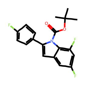 CC(C)(C)OC(=O)n1c(-c2ccc(F)cc2)cc2cc(F)cc(F)c21